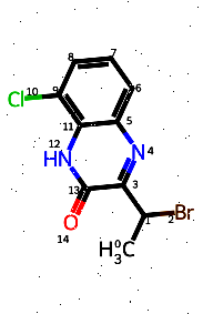 CC(Br)c1nc2cccc(Cl)c2[nH]c1=O